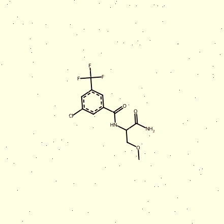 COCC(NC(=O)c1cc(Cl)cc(C(F)(F)F)c1)C(N)=O